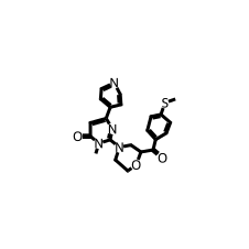 CSc1ccc(C(=O)C2CN(c3nc(-c4ccncc4)cc(=O)n3C)CCO2)cc1